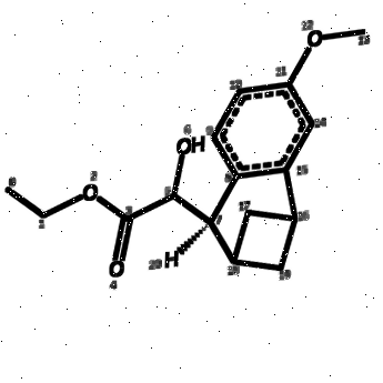 CCOC(=O)C(O)[C@H]1c2ccc(OC)cc2C2CC1C2